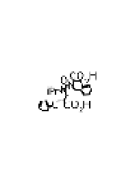 CC(C)N(C[C@@H](CCc1ccccc1)C(=O)O)C(=O)N1Cc2ccccc2C[C@H]1C(=O)O